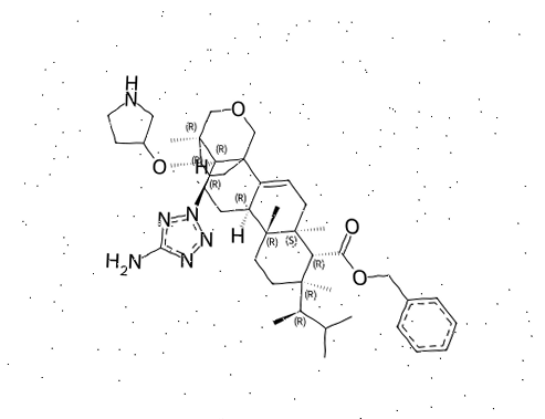 CC(C)[C@@H](C)[C@@]1(C)CC[C@]2(C)[C@H]3CC[C@@H]4C5(COC[C@]4(C)[C@@H](OC4CCNC4)[C@H](n4nnc(N)n4)C5)C3=CC[C@@]2(C)[C@@H]1C(=O)OCc1ccccc1